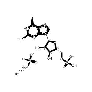 Nc1nc2c(ncn2[C@@H]2O[C@H](COP(=O)(O)O)[C@@H](O)[C@H]2O)c(=O)[nH]1.O=P([O-])([O-])[O-].[K+].[Na+].[Na+]